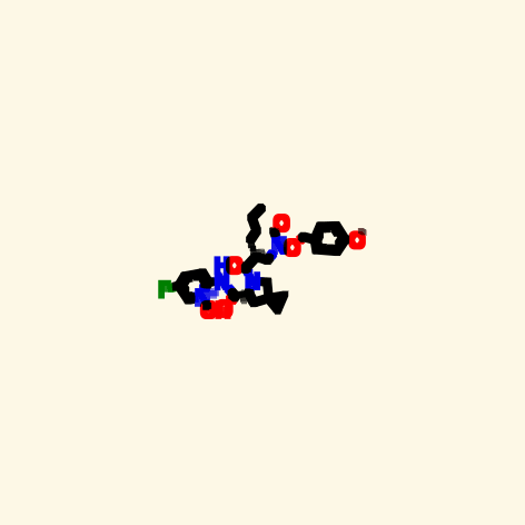 CCCC[C@H](CN(C=O)OCc1ccc(OC)cc1)C(=O)N1CC2(CC2)C[C@H]1C(=O)Nc1ccc(F)c[n+]1O